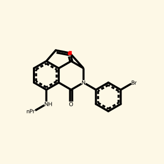 CCCNc1ccc2c3c1C(=O)N(c1cccc(Br)c1)C(C=C2)C3=O